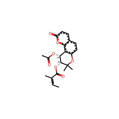 C/C=C(/C)C(=O)O[C@@H]1[C@H](OC(C)=O)c2c(ccc3ccc(=O)oc23)OC1(C)C